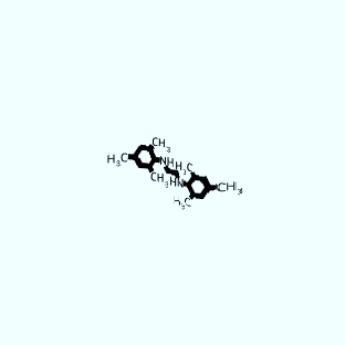 CC1CC(C)C(NCCNC2C(C)CC(C)CC2C)C(C)C1